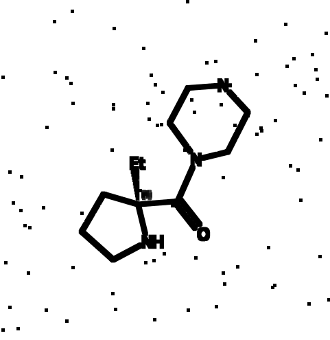 CC[C@@]1(C(=O)N2CC[N]CC2)CCCN1